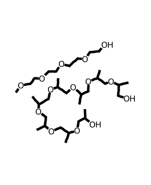 CC(O)COC(C)COC(C)COC(C)COC(C)COC(C)COC(C)COC(C)CO.COCCOCCOCCOCCO